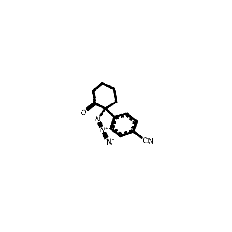 N#Cc1ccc(C2(N=[N+]=[N-])CCCCC2=O)cc1